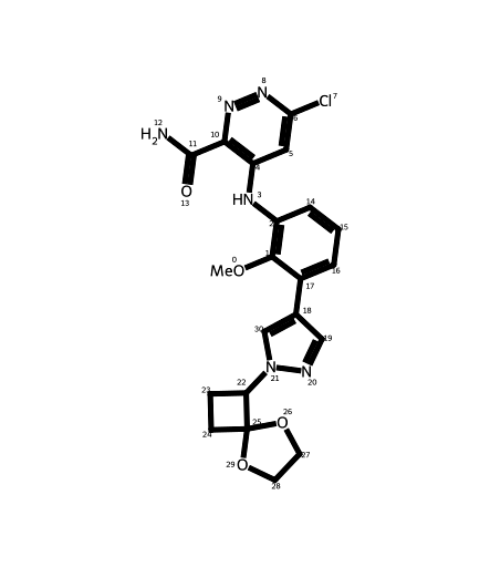 COc1c(Nc2cc(Cl)nnc2C(N)=O)cccc1-c1cnn(C2CCC23OCCO3)c1